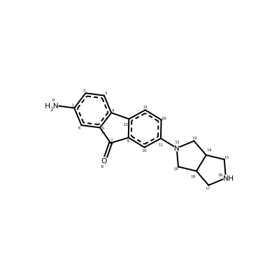 Nc1ccc2c(c1)C(=O)c1cc(N3CC4CNCC4C3)ccc1-2